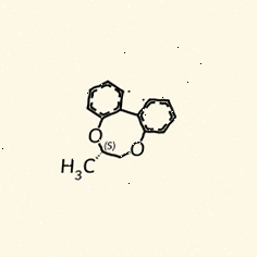 C[C@H]1COc2ccc[c]c2-c2[c]cccc2O1